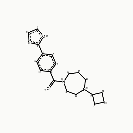 O=C(c1ccc(-c2ncco2)cc1)N1CCCN(C2CCC2)CC1